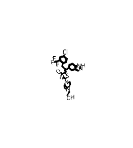 O=C1N=C(N2CC3CC2CN3CCO)SC1=C(Cc1ccc(Cl)cc1C(F)(F)F)c1ccc2[nH]ncc2c1